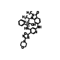 CC(C)n1c2cc(Nc3cc(N[C@H](CO)c4ccccc4)c(-c4nc(N5CCOCC5)no4)cn3)ccc2c(=O)n1C